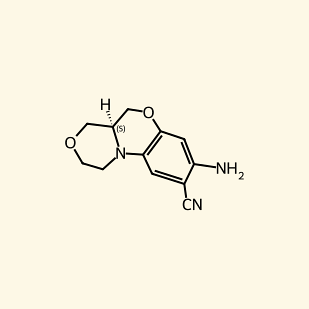 N#Cc1cc2c(cc1N)OC[C@@H]1COCCN21